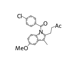 COc1ccc2c(c1)c(C)c(CCC(C)=O)n2C(=O)c1ccc(Cl)cc1